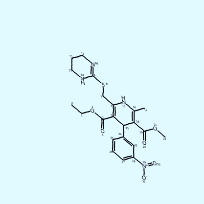 CCOC(=O)C1=C(CSC2=NCCCN2)NC(C)=C(C(=O)OC)C1c1cccc([N+](=O)[O-])c1